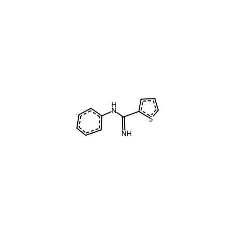 N=C(Nc1c[c]ccc1)c1cccs1